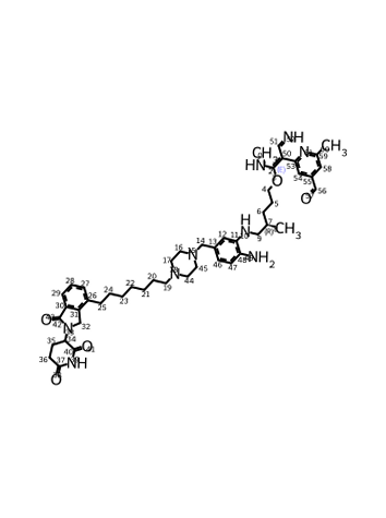 CN/C(OCCC[C@@H](C)CNc1cc(CN2CCN(CCCCCCCc3cccc4c3CN(C3CCC(=O)NC3=O)C4=O)CC2)ccc1N)=C(\C=N)c1cc(C=O)cc(C)n1